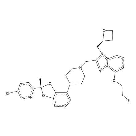 C[C@]1(c2ccc(Cl)cn2)Oc2cccc(C3CCN(Cc4nc5c(OCCF)cccc5n4C[C@@H]4CCO4)CC3)c2O1